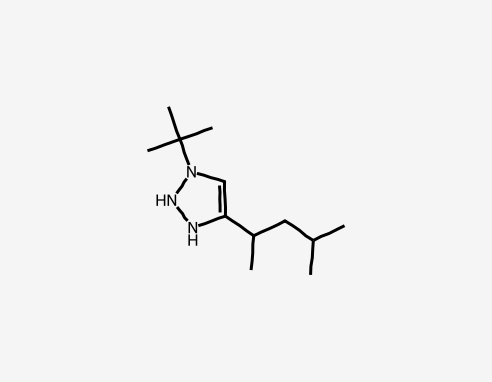 CC(C)CC(C)C1=CN(C(C)(C)C)NN1